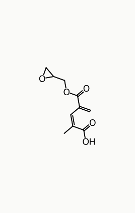 C=C(C=C(C)C(=O)O)C(=O)OCC1CO1